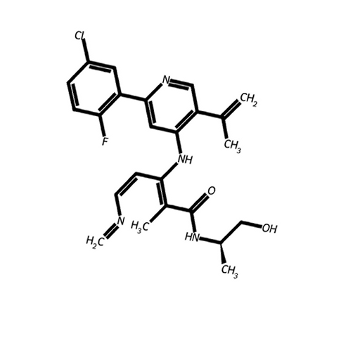 C=N/C=C\C(Nc1cc(-c2cc(Cl)ccc2F)ncc1C(=C)C)=C(/C)C(=O)N[C@H](C)CO